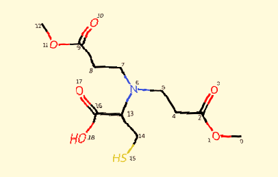 COC(=O)CCN(CCC(=O)OC)C(CS)C(=O)O